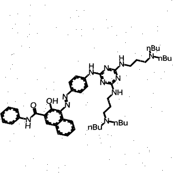 CCCCN(CCCC)CCCNc1nc(NCCCN(CCCC)CCCC)nc(Nc2ccc(N=Nc3c(O)c(C(=O)Nc4ccccc4)cc4ccccc34)cc2)n1